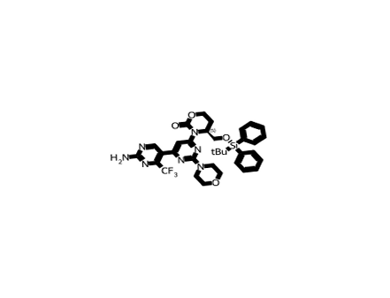 CC(C)(C)[Si](OC[C@@H]1CCOC(=O)N1c1cc(-c2cnc(N)nc2C(F)(F)F)nc(N2CCOCC2)n1)(c1ccccc1)c1ccccc1